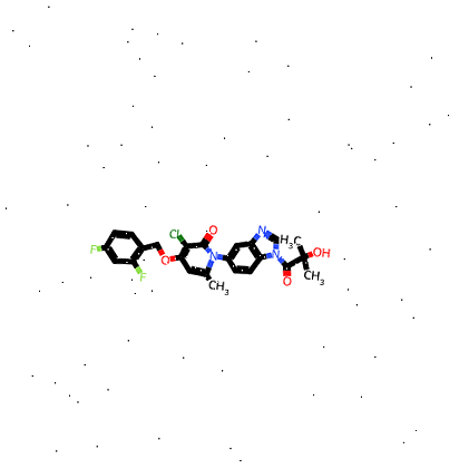 Cc1cc(OCc2ccc(F)cc2F)c(Cl)c(=O)n1-c1ccc2c(c1)ncn2C(=O)C(C)(C)O